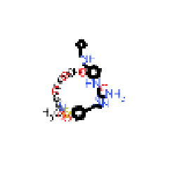 CN1CCOCCOCCOc2c(CNCC3CCC3)cccc2NC(=O)c2nc(cnc2N)-c2ccc(cc2)S1(=O)=O